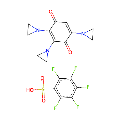 O=C1C=C(N2CC2)C(=O)C(N2CC2)=C1N1CC1.O=S(=O)(O)c1c(F)c(F)c(F)c(F)c1F